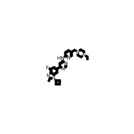 CCN1CCN(Cc2ccc(Nc3cc(-c4cc(F)c5nc(C)n(C6CCC6)c5c4)ncn3)nc2)CC1